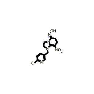 O=[N+]([O-])C1=C2N(Cc3ccc(Cl)nc3)CCN2/C(=N/O)CC1